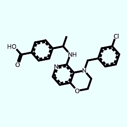 CC(Nc1nccc2c1N(Cc1cccc(Cl)c1)CCO2)c1ccc(C(=O)O)cc1